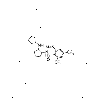 CSc1cc(C(F)(F)F)cc(C(F)(F)F)c1C(=O)NC1CCCC1NC1CCCC1